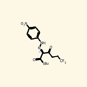 CC(C)(C)C(=O)/C(=N/Nc1ccc([N+](=O)[O-])cc1)C(=O)CCC(F)(F)F